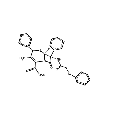 COC(=O)C1=C(C)C(c2ccccc2)S[C@@H]2N1C(=O)[C@]2(NC(=O)COc1ccccc1)c1ccccc1